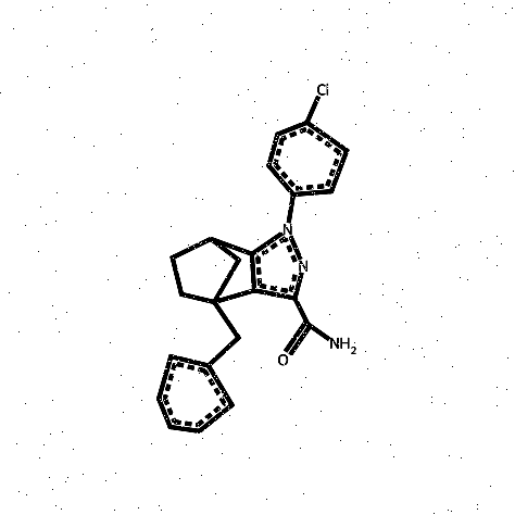 NC(=O)c1nn(-c2ccc(Cl)cc2)c2c1C1(Cc3ccccc3)CCC2C1